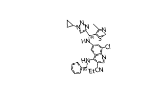 CC[C@@H](Nc1c(C#N)cnc2c(Cl)cc(N[C@H](c3cn(C4CC4)nn3)c3scnc3C)cc12)c1ccccc1